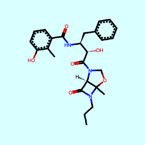 CCCN1C(=O)[C@H]2N(C(=O)[C@@H](O)[C@H](Cc3ccccc3)NC(=O)c3cccc(O)c3C)COC21C